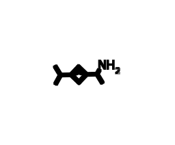 CC(C)C12CC(C(C)N)(C1)C2